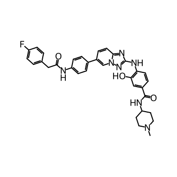 CN1CCC(NC(=O)c2ccc(Nc3nc4ccc(-c5ccc(NC(=O)Cc6ccc(F)cc6)cc5)cn4n3)c(O)c2)CC1